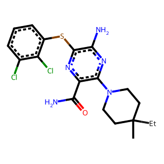 CCC1(C)CCN(c2nc(N)c(Sc3cccc(Cl)c3Cl)nc2C(N)=O)CC1